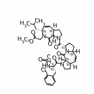 COC(=O)CN1C(=O)[C@@H]2[C@@H](C=C[C@H]1CC(C)C)CCN2C(=O)[C@@H]1CC[C@@H]2C=C[C@H]3CCN(C(=O)[C@H](Cc4ccccc4Cl)NC(C)=O)[C@@H]3C(=O)N21